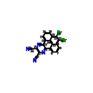 N#Cc1nc2c3cccc4c(Br)c(Br)c5cccc(c2nc1C#N)c5c43